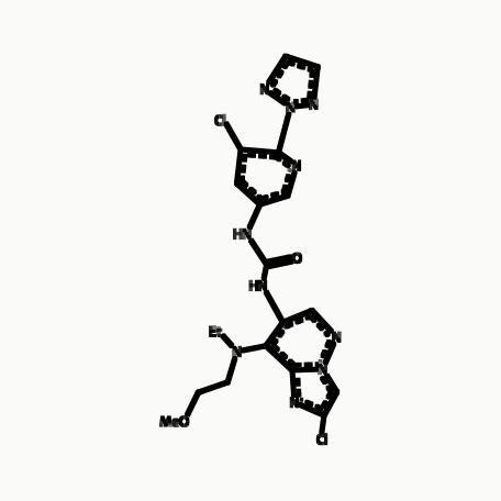 CCN(CCOC)c1c(NC(=O)Nc2cnc(-n3nccn3)c(Cl)c2)cnn2cc(Cl)nc12